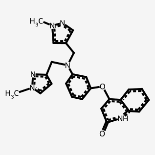 Cn1cc(CN(Cc2ccn(C)n2)c2cccc(Oc3cc(=O)[nH]c4ccccc34)c2)cn1